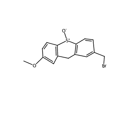 COc1ccc2c(c1)Cc1cc(CBr)ccc1[S+]2[O-]